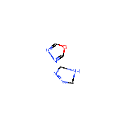 C1N=NCN1.c1nnco1